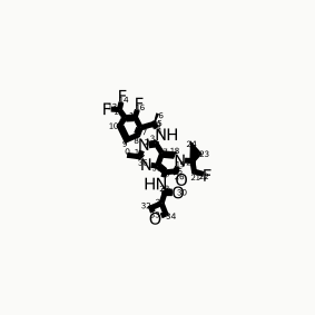 Cc1nc(N[C@H](C)c2cccc(C(F)F)c2F)c2cn(C3(CF)CC3)c(=O)c(NC(=O)C3COC3)c2n1